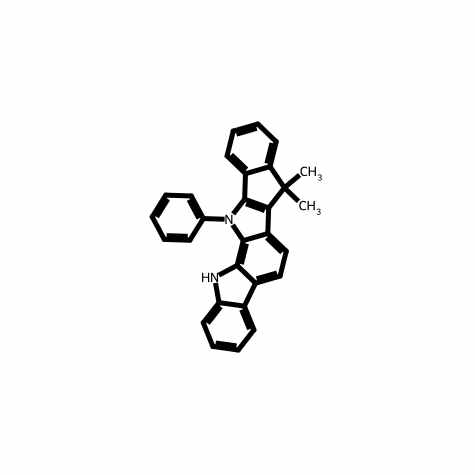 CC1(C)c2ccccc2-c2c1c1ccc3c4ccccc4[nH]c3c1n2-c1ccccc1